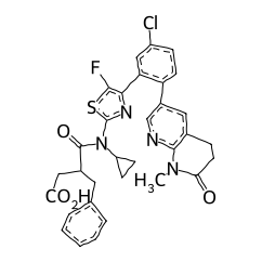 CN1C(=O)CCc2cc(-c3ccc(Cl)cc3-c3nc(N(C(=O)C(CC(=O)O)Cc4ccccc4)C4CC4)sc3F)cnc21